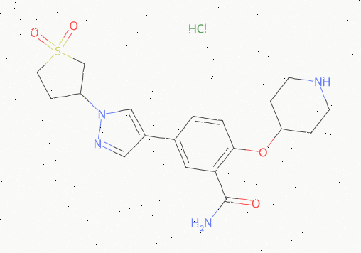 Cl.NC(=O)c1cc(-c2cnn(C3CCS(=O)(=O)C3)c2)ccc1OC1CCNCC1